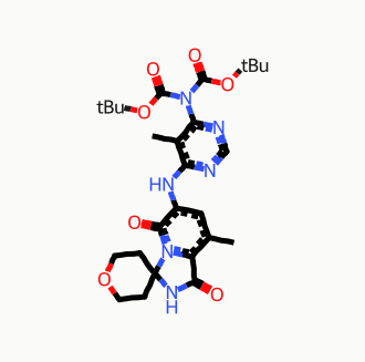 Cc1cc(Nc2ncnc(N(C(=O)OC(C)(C)C)C(=O)OC(C)(C)C)c2C)c(=O)n2c1C(=O)NC21CCOCC1